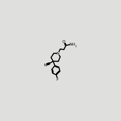 N#CC1(c2ccc(F)cc2)CCN(CCC(N)=O)CC1